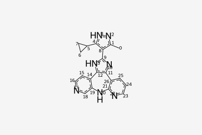 Cc1n[nH]c(C2CC2)c1-c1nc2c([nH]1)-c1ccncc1Nc1ncccc1-2